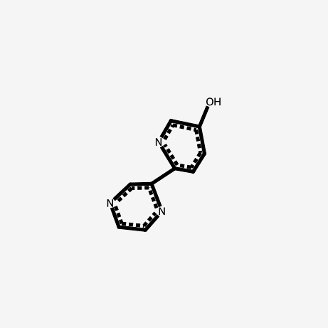 Oc1ccc(-c2cnccn2)nc1